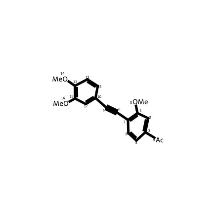 COc1cc(C(C)=O)ccc1C#Cc1ccc(OC)c(OC)c1